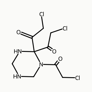 O=C(CCl)N1CNCNC1(C(=O)CCl)C(=O)CCl